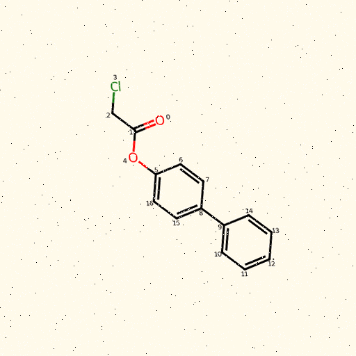 O=C(CCl)Oc1ccc(-c2cc[c]cc2)cc1